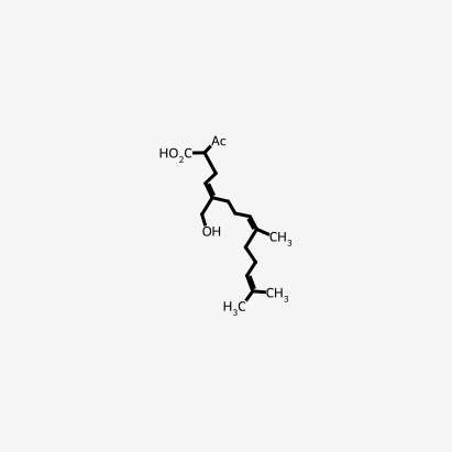 CC(=O)C(CC=C(CO)CCC=C(C)CCC=C(C)C)C(=O)O